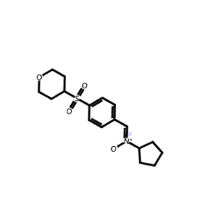 O=S(=O)(c1ccc(/C=[N+](\[O-])C2CCCC2)cc1)C1CCOCC1